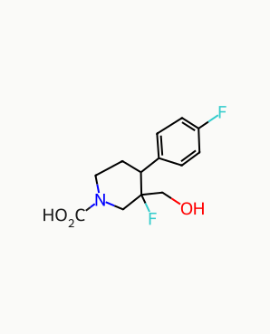 O=C(O)N1CCC(c2ccc(F)cc2)C(F)(CO)C1